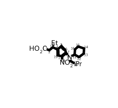 CC[C@H](CC(=O)O)c1ccc(N(CC(C)C)C2CCCCC2)c([N+](=O)[O-])c1